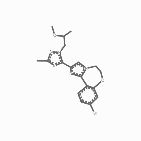 COC(C)Cn1nc(C)nc1-c1cn2c(n1)-c1ccc(Br)cc1OCC2